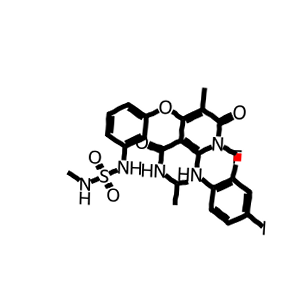 CNS(=O)(=O)Nc1cccc(Oc2c(C(=O)NC(C)C)c(Nc3ccc(I)cc3F)n(C)c(=O)c2C)c1